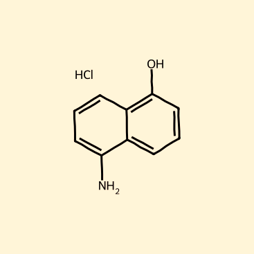 Cl.Nc1cccc2c(O)cccc12